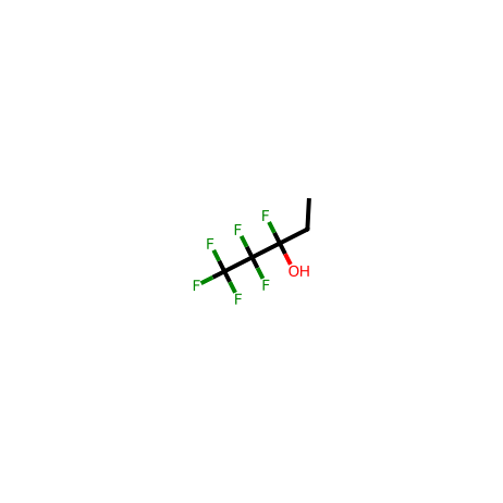 CCC(O)(F)C(F)(F)C(F)(F)F